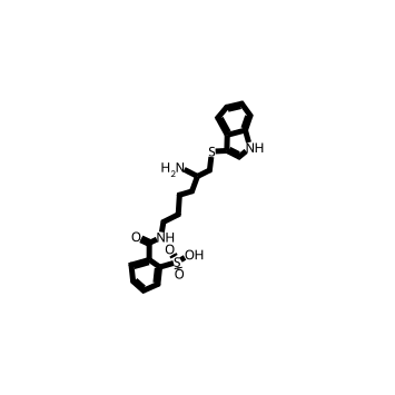 NC(CCCCNC(=O)c1ccccc1S(=O)(=O)O)CSc1c[nH]c2ccccc12